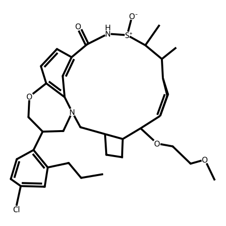 CCCc1cc(Cl)ccc1C1COc2ccc3cc2N(C1)CC1CCC1C(OCCOC)C1=CC(C1)C(C)C(C)[S+]([O-])NC3=O